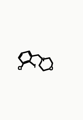 Clc1cccc(CN2CCOCC2)c1I